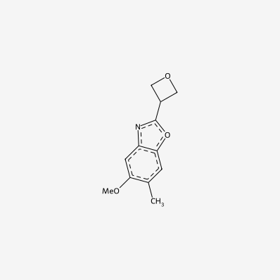 COc1cc2nc(C3COC3)oc2cc1C